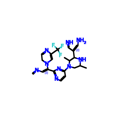 C=N/C=C(/c1nccc(N2CC(C)NC(/C(C=N)=C/N)C2C)n1)N1C=C(C(F)(F)F)N=CC1